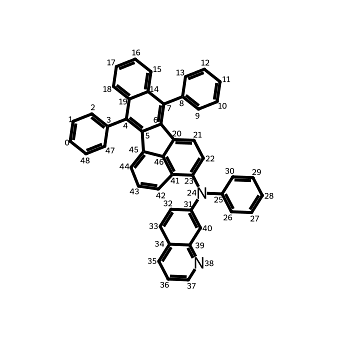 c1ccc(-c2c3c(c(-c4ccccc4)c4ccccc24)-c2ccc(N(c4ccccc4)c4ccc5cccnc5c4)c4cccc-3c24)cc1